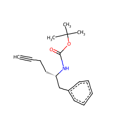 C#CCC[C@@H](Cc1ccccc1)NC(=O)OC(C)(C)C